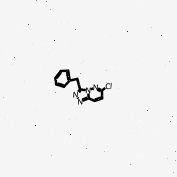 Clc1ccc2nnc(Cc3ccccc3)n2n1